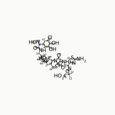 C[C@@H]1S[C@@H]2[C@H](NC(=O)/C(=N\OC(C)(C)C(=O)O)c3csc(N)n3)C(=O)N2C(C(=O)O)=C1C[N+]12CCC(CNC(=O)/C(=N\O)c3cc(O)c(O)c(Cl)c3)(CC1)CC2